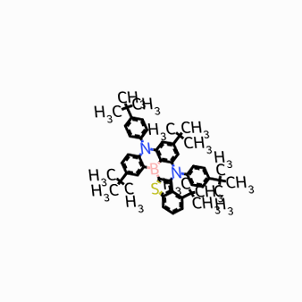 CC(C)(C)c1ccc(N2c3ccc(C(C)(C)C)cc3B3c4sc5cccc(C(C)(C)C)c5c4N(c4ccc(C(C)(C)C)cc4)c4cc(C(C)(C)C)cc2c43)cc1